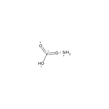 [O]=[V](=[O])[OH].[SrH2]